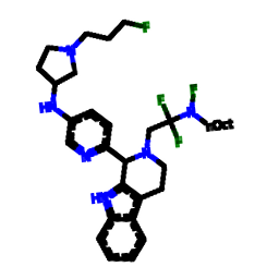 CCCCCCCCN(F)C(F)(F)CN1CCc2c([nH]c3ccccc23)C1c1ccc(NC2CCN(CCCF)C2)cn1